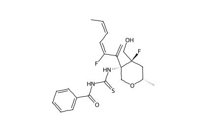 C=C(/C(F)=C\C=C/C)[C@]1(NC(=S)NC(=O)c2ccccc2)CO[C@@H](C)C[C@@]1(F)CO